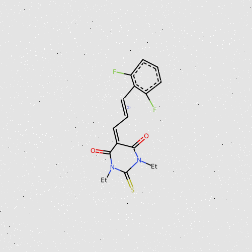 CCN1C(=O)C(=C/C=C/c2c(F)cccc2F)C(=O)N(CC)C1=S